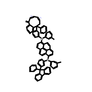 C=C1/C=C\C=C/CC(c2ccccc2)(c2cccc(N(c3cccc(C)c3)c3ccc4ccc5c(N(c6cccc(C)c6)c6cccc(C7(c8ccccc8)c8ccccc8-c8ccccc87)c6)ccc6ccc3c4c65)c2)c2ccccc21